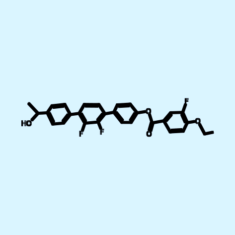 CCOc1ccc(C(=O)Oc2ccc(-c3ccc(-c4ccc(C(C)O)cc4)c(F)c3F)cc2)cc1F